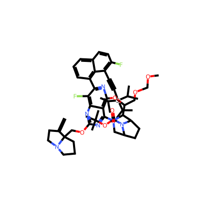 C=C1CCN2CCCC12COc1nc2c3c(nc(-c4cccc5ccc(F)c(C#C[Si](C(C)C)(C(C)C)C(C)C)c45)c(F)c3n1)OC(COCOC)C1C3CCC(CN21)N3C(=O)OC(C)(C)C